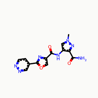 Cn1cc(NC(=O)c2coc(-c3ccnnc3)n2)c(C(N)=O)n1